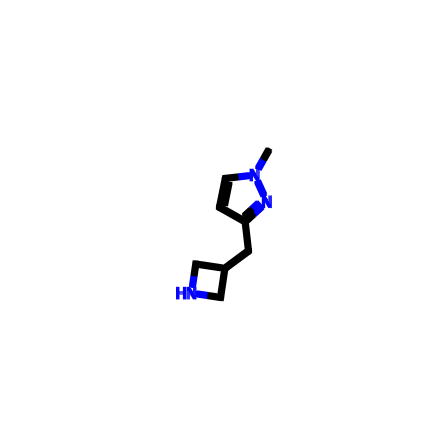 Cn1ccc(CC2CNC2)n1